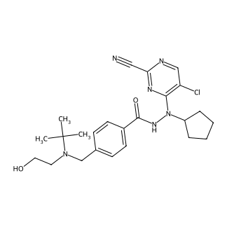 CC(C)(C)N(CCO)Cc1ccc(C(=O)NN(c2nc(C#N)ncc2Cl)C2CCCC2)cc1